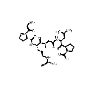 CC(C)C[C@H](NC(=O)CNC(=O)[C@H](CCCNC(=N)N)NC(=O)[C@@H]1CCCN1C(=O)CN)C(=O)N1CCC[C@H]1C(=O)O